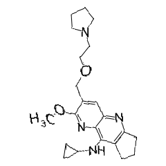 COc1nc2c(NC3CC3)c3c(nc2cc1COCCN1CCCC1)CCC3